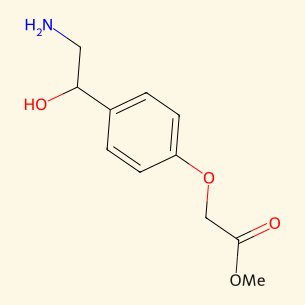 COC(=O)COc1ccc(C(O)CN)cc1